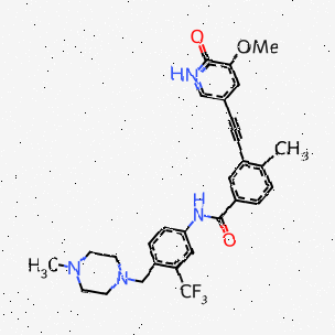 COc1cc(C#Cc2cc(C(=O)Nc3ccc(CN4CCN(C)CC4)c(C(F)(F)F)c3)ccc2C)c[nH]c1=O